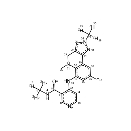 [2H]C([2H])([2H])NC(=O)c1cnccc1Nc1cc(F)cc2c1N(C)Cc1cn(C([2H])([2H])[2H])nc1-2